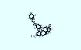 C[C@]12C[C@H](c3ccc(OCCN4CCCCC4)cc3)[C@@H]3c4ccc(O)cc4CC[C@H]3[C@@H]1CCC2=O